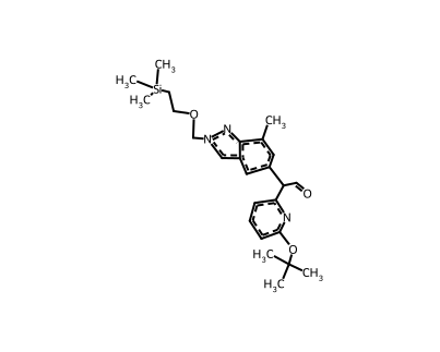 Cc1cc(C(C=O)c2cccc(OC(C)(C)C)n2)cc2cn(COCC[Si](C)(C)C)nc12